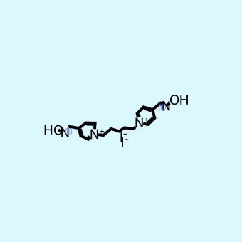 O/N=C/c1cc[n+](CCCCC[n+]2ccc(/C=N/O)cc2)cc1.[I-].[I-]